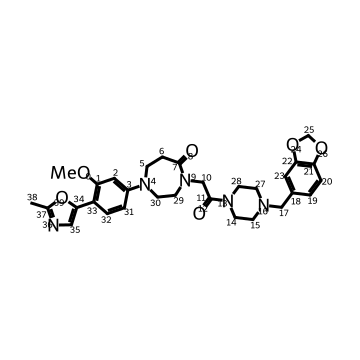 COc1cc(N2CCC(=O)N(CC(=O)N3CCN(Cc4ccc5c(c4)OCO5)CC3)CC2)ccc1-c1cnc(C)o1